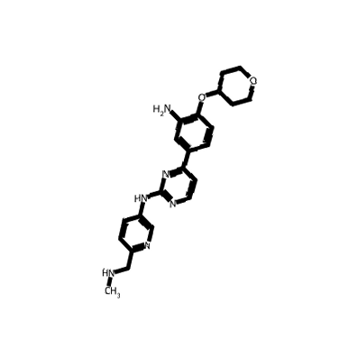 CNCc1ccc(Nc2nccc(-c3ccc(OC4CCOCC4)c(N)c3)n2)cn1